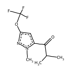 CC(C)C(=O)c1cc(OC(F)(F)F)nn1C